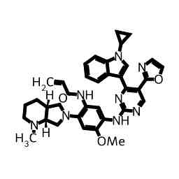 C=CC(=O)Nc1cc(Nc2ncc(-c3ncco3)c(-c3cn(C4CC4)c4ccccc34)n2)c(OC)cc1N1C[C@H]2CCCN(C)[C@H]2C1